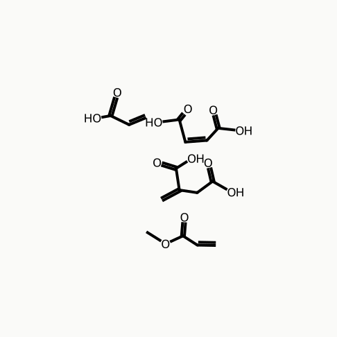 C=C(CC(=O)O)C(=O)O.C=CC(=O)O.C=CC(=O)OC.O=C(O)/C=C\C(=O)O